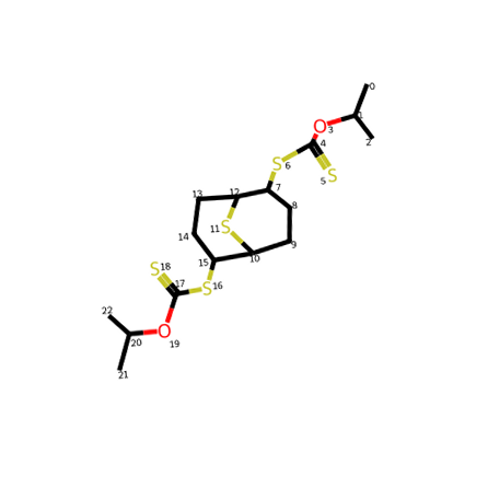 CC(C)OC(=S)SC1CCC2SC1CCC2SC(=S)OC(C)C